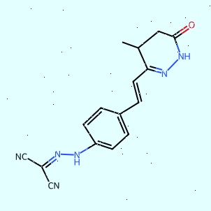 CC1CC(=O)NN=C1/C=C/c1ccc(NN=C(C#N)C#N)cc1